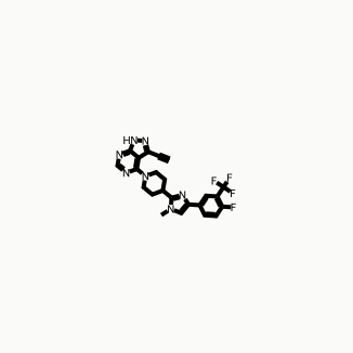 C#Cc1n[nH]c2ncnc(N3CCC(c4nc(-c5ccc(F)c(C(F)(F)F)c5)cn4C)CC3)c12